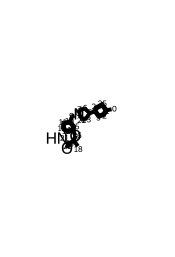 Cc1ccc(C2CCN(Cc3ccc4c(c3)OC(C)C(=O)N4)CC2)cc1